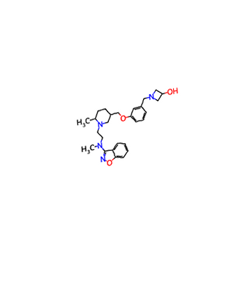 CC1CCC(COc2cccc(CN3CC(O)C3)c2)CN1CCN(C)c1noc2ccccc12